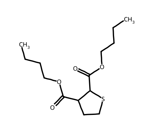 CCCCOC(=O)C1CCSC1C(=O)OCCCC